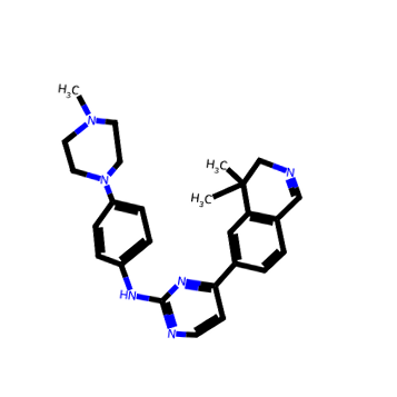 CN1CCN(c2ccc(Nc3nccc(-c4ccc5c(c4)C(C)(C)CN=C5)n3)cc2)CC1